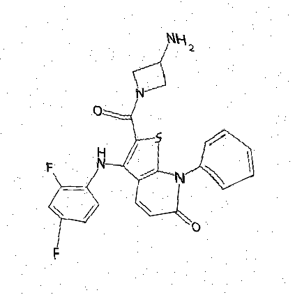 NC1CN(C(=O)c2sc3c(ccc(=O)n3-c3ccccc3)c2Nc2ccc(F)cc2F)C1